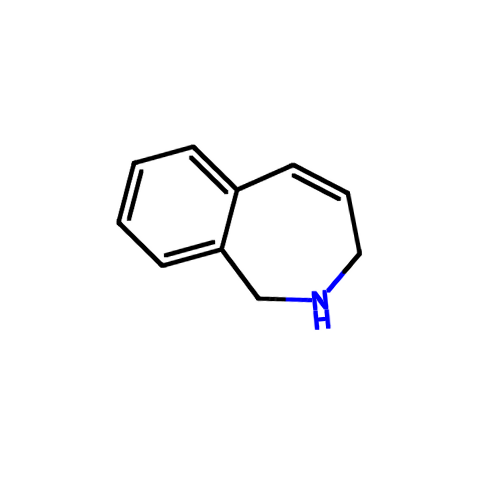 C1=Cc2ccccc2CNC1